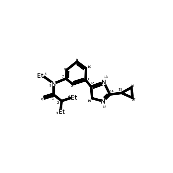 C=C(C(CC)CC)N(CC)c1cccc(C2=NC(C3CC3)=NC2)c1